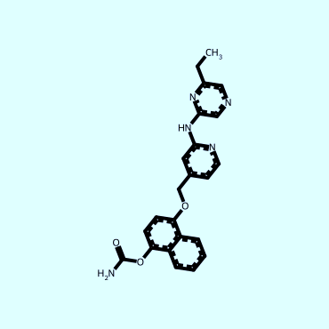 CCc1cncc(Nc2cc(COc3ccc(OC(N)=O)c4ccccc34)ccn2)n1